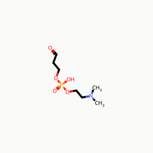 CN(C)CCOP(=O)(O)OCCC=O